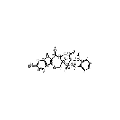 COc1ccccc1CNC(=O)C1(C)COc2c(oc3cc(Br)cnc23)C(=O)N1CC(=O)N(C)C